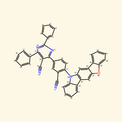 N#Cc1cc(-c2nc(-c3ccccc3)nc(-c3ccccc3)c2C#N)ccc1-n1c2ccccc2c2cc3oc4ccccc4c3cc21